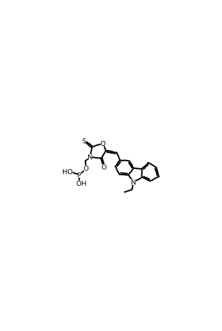 CCn1c2ccccc2c2cc(/C=C3/OC(=S)N(COP(O)O)C3=O)ccc21